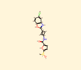 C[S+]([O-])c1ccc(C(=O)NC23CC(c4nc5cc(Cl)ccc5o4)(C2)C3)o1